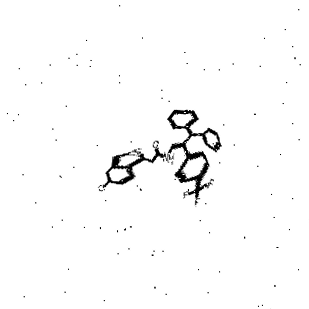 O=C(Cc1scc2cc(Cl)ccc12)NCC(c1ccc(C(F)(F)F)cc1)C(c1ccccc1)c1ccccc1